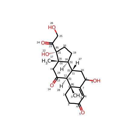 C[C@]12CCC(=O)C=C1C(O)C[C@@H]1[C@@H]2C(=O)C[C@@]2(C)[C@H]1CC[C@]2(O)C(=O)CO